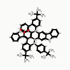 CC(C)(C)c1ccc(N2B3c4cc5oc6ccccc6c5cc4N(c4ccc(C(C)(C)C)cc4-c4ccccc4)c4cc5oc6ccccc6c5c(c43)-c3ccc(C(C)(C)C)cc32)cc1